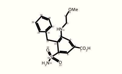 COCCNc1cc(C(=O)O)cc(S(N)(=O)=O)c1Cc1ccccc1